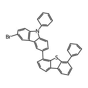 Brc1ccc2c(c1)c1cc(-c3cccc4c3sc3c(-c5ccccc5)cccc34)ccc1n2-c1ccccc1